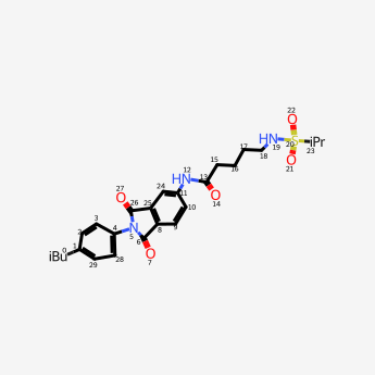 CCC(C)c1ccc(N2C(=O)c3ccc(NC(=O)CCCCNS(=O)(=O)C(C)C)cc3C2=O)cc1